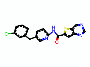 O=C(Nc1ccc(Cc2cccc(Cl)c2)cn1)c1cc2ncncc2s1